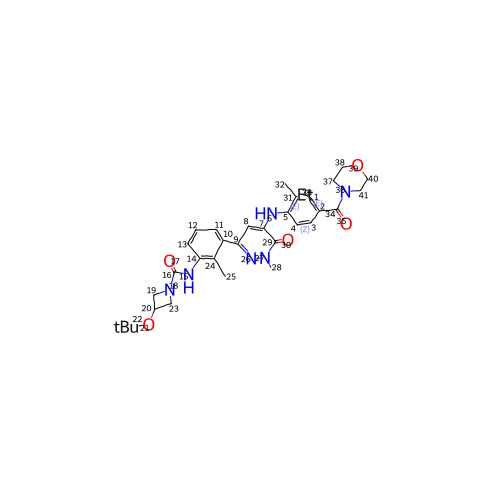 C\C=C(/C=C\C(Nc1cc(-c2cccc(NC(=O)N3CC(OC(C)(C)C)C3)c2C)nn(C)c1=O)=C(\C)CC)C(=O)N1CCOCC1